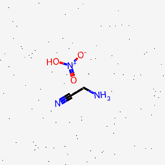 N#CCN.O=[N+]([O-])O